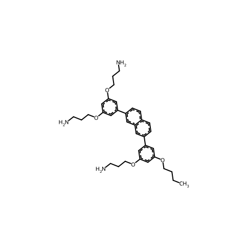 CCCCOc1cc(OCCCN)cc(-c2ccc3ccc(-c4cc(OCCCN)cc(OCCCN)c4)cc3c2)c1